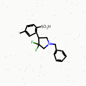 Cc1ccc(S(=O)(=O)O)c(C2CN(Cc3ccccc3)CC2(F)F)c1